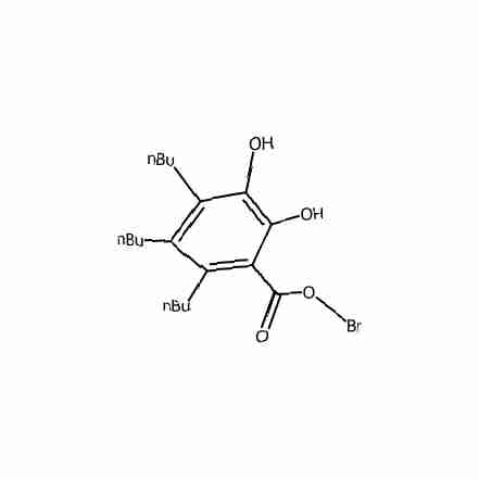 CCCCc1c(O)c(O)c(C(=O)OBr)c(CCCC)c1CCCC